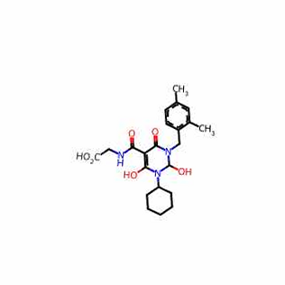 Cc1ccc(CN2C(=O)C(C(=O)NCC(=O)O)=C(O)N(C3CCCCC3)C2O)c(C)c1